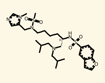 CC(C)CN(CC(C)C)C[C@H](CCCCN(Cc1cncn1C)S(C)(=O)=O)NS(=O)(=O)c1ccc2occc2c1